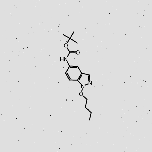 CCCCOn1ncc2cc(NC(=O)OC(C)(C)C)ccc21